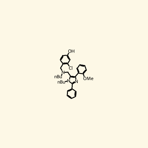 CCCCN(Cc1ccc(O)cc1Cl)Cc1c(-c2ccccc2OC)nc(-c2ccccc2)n1CCCC